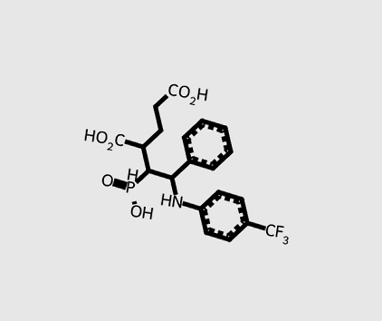 O=C(O)CCC(C(=O)O)C(C(Nc1ccc(C(F)(F)F)cc1)c1ccccc1)[PH](=O)O